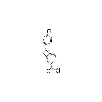 O=C(Cl)C1=C=C2CC(c3ccc(Cl)cc3)C2=CC1